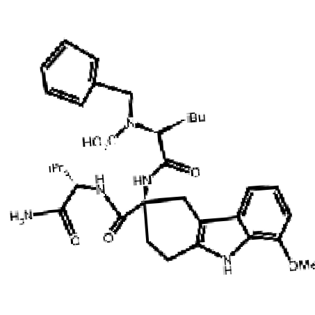 CC[C@H](C)[C@@H](C(=O)N[C@]1(C(=O)N[C@H](C(N)=O)C(C)C)CCc2[nH]c3c(OC)cccc3c2C1)N(Cc1ccccc1)C(=O)O